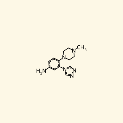 CN1CCN(c2ccc(N)cc2-n2cnnc2)CC1